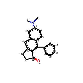 CN(C)c1ccc2c(-c3ccccc3)c3c(cc2c1)CCC3=O